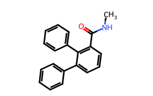 CNC(=O)c1cccc(-c2ccccc2)c1-c1ccccc1